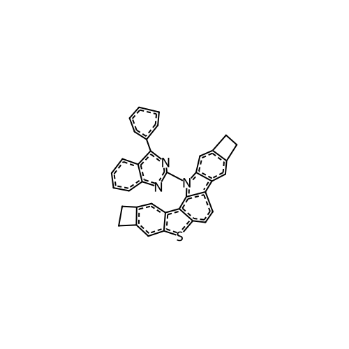 c1ccc(-c2nc(-n3c4cc5c(cc4c4ccc6sc7cc8c(cc7c6c43)CC8)CC5)nc3ccccc23)cc1